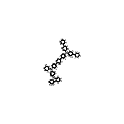 c1ccc(-c2ccc(N(c3ccc(-c4ccccc4)cc3)c3ccc(-c4ccc(-c5ccc(N(c6ccccc6)c6ccc(-n7c8ccccc8c8ccccc87)cc6)cc5)cc4)cc3)cc2)cc1